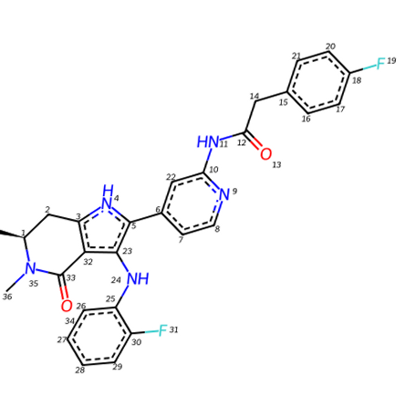 C[C@H]1Cc2[nH]c(-c3ccnc(NC(=O)Cc4ccc(F)cc4)c3)c(Nc3ccccc3F)c2C(=O)N1C